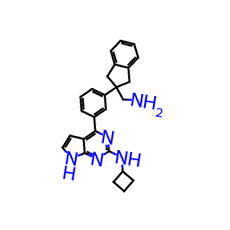 NCC1(c2cccc(-c3nc(NC4CCC4)nc4[nH]ccc34)c2)Cc2ccccc2C1